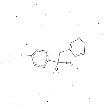 CCC(N)(CC1=C[C][C]C=C1)c1ccc(Cl)cc1